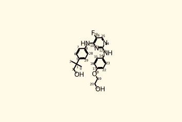 CC(C)(CO)c1ccc(Nc2nc(Nc3ccc(OCCO)cc3)ncc2F)cc1